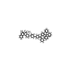 CC1(C)c2cc(-c3ccc(-c4ccc(N(c5ccccc5)c5ccc6c(c5)C(c5ccccc5)(c5ccccc5)c5ccccc5-6)cc4)cc3)ccc2-c2c1ccc1ccccc21